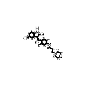 O=C1Nc2ccc(Cl)cc2C1=C1OCc2cc(OCCCN3CCOCC3)ccc21